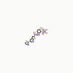 CCN(CC)S(=O)(=O)c1cc(NC(=O)c2cc3cc(-c4nccs4)cnc3s2)ccc1Cl